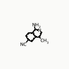 Cc1cnc(N)c2ccc(C#N)cc12